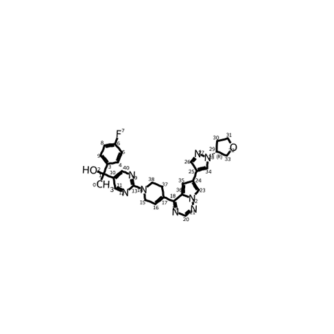 CC(O)(c1ccc(F)cc1)c1cnc(N2CC=C(c3ncnn4cc(-c5cnn([C@@H]6CCOC6)c5)cc34)CC2)nc1